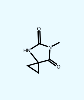 CN1C(=O)NC2(CC2)C1=O